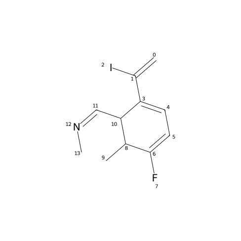 C=C(I)C1=CC=C(F)C(C)C1/C=N\C